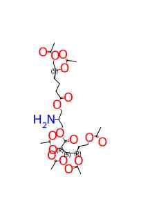 CC(=O)OCC[C@@H](OC(C)=O)[C@H](OC(C)=O)[C@@H](OC(C)=O)C(=O)OCC(N)COC(=O)CCC[C@@H](COC(C)=O)OC(C)=O